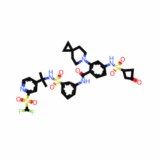 CC(C)(NS(=O)(=O)c1cccc(NC(=O)c2ccc(NS(=O)(=O)C3CC(=O)C3)cc2N2CCC3(CC2)CC3)c1)c1ccnc(S(=O)(=O)C(F)F)c1